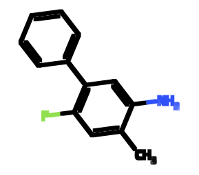 Cc1cc(F)c(-c2ccccc2)cc1N